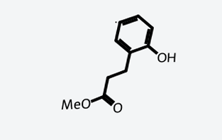 COC(=O)CCc1c[c]ccc1O